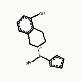 CCCN(c1cccs1)[C@H]1CCc2c(O)cccc2C1